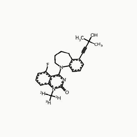 [2H]C([2H])([2H])n1c(=O)nc(N2CCCCc3c(C#CC(C)(C)O)cccc32)c2c(F)cccc21